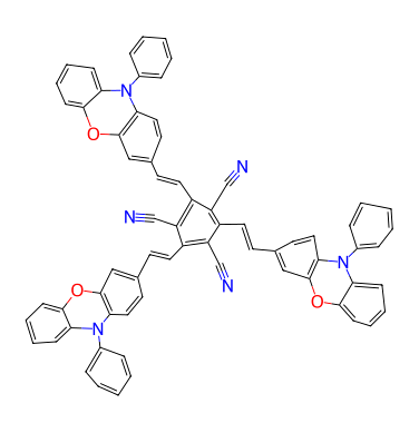 N#Cc1c(/C=C/c2ccc3c(c2)Oc2ccccc2N3c2ccccc2)c(C#N)c(/C=C/c2ccc3c(c2)Oc2ccccc2N3c2ccccc2)c(C#N)c1/C=C/c1ccc2c(c1)Oc1ccccc1N2c1ccccc1